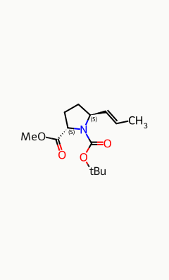 CC=C[C@@H]1CC[C@@H](C(=O)OC)N1C(=O)OC(C)(C)C